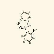 O=C(Oc1ccccc1F)c1ccccc1F